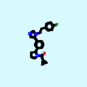 O=C(C1CC1)N1CCCC1c1cccc(-c2cncn2CCc2ccc(F)cc2)c1